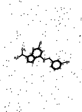 CC(C)n1cnc2c(NCc3cccc(O)c3)nc(Cl)nc21